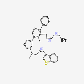 Cc1c(-c2cccc(C(C)C/C=C\c3csc4ccccc34)c2)ccc(-c2ccccc2)c1C/C=C\C=C/C(C)C